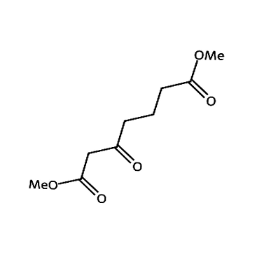 COC(=O)CCCC(=O)CC(=O)OC